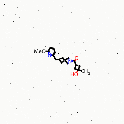 COc1cccc(CC2CC3(C2)CN(C(=O)C2CC(C)(O)C2)C3)n1